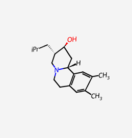 Cc1cc2c(cc1C)[C@H]1C[C@H](O)[C@@H](CC(C)C)CN1CC2